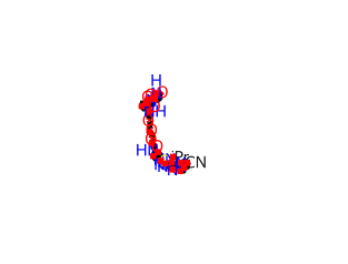 CC(C)Nc1cc(-c2ccc3cc(C#N)cnn23)ncc1-c1nnc([C@H]2CC[C@H](NC(=O)CCOCCOCCOCCNc3cccc4c3C(=O)N(C3CCC(=O)NC3=O)C4=O)CC2)s1